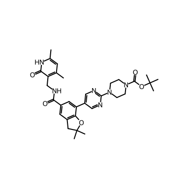 Cc1cc(C)c(CNC(=O)c2cc3c(c(-c4cnc(N5CCN(C(=O)OC(C)(C)C)CC5)nc4)c2)OC(C)(C)C3)c(=O)[nH]1